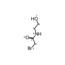 O=C(CBr)NCCO